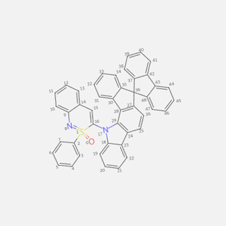 O=S1(c2ccccc2)=Nc2ccccc2C=C1n1c2ccccc2c2ccc3c(c21)-c1ccccc1C31c2ccccc2-c2ccccc21